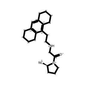 N#C[C@@H]1CCCN1C(=O)CNCCc1c2c(cc3c1CCCC3)CCCC2